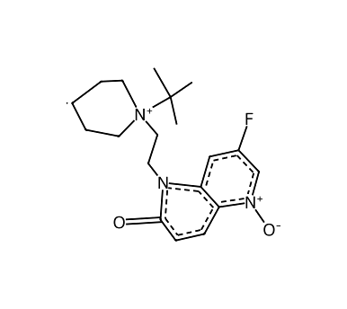 CC(C)(C)[N+]1(CCn2c(=O)ccc3c2cc(F)c[n+]3[O-])CC[CH]CC1